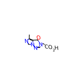 Cc1ncn2ncn(CC(=O)O)c(=O)c12